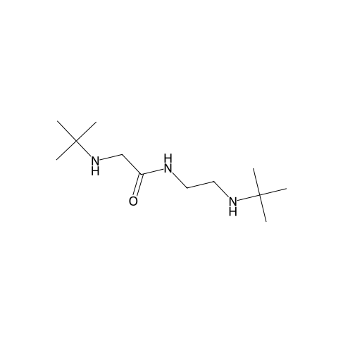 CC(C)(C)NCCNC(=O)CNC(C)(C)C